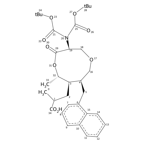 CC(C[C@@H]1[C@H](Cc2cccc3ccccc23)COC[C@H](N(C(=O)OC(C)(C)C)C(=O)OC(C)(C)C)C(=O)O[C@H]1C)C(=O)O